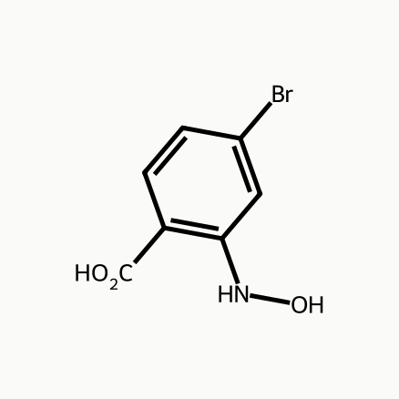 O=C(O)c1ccc(Br)cc1NO